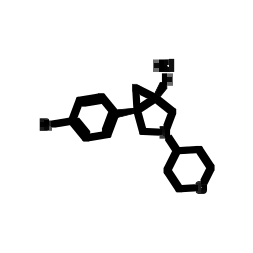 Brc1ccc([C@@]23C[C@@H]2CN(C2CCOCC2)C3)cc1.Cl